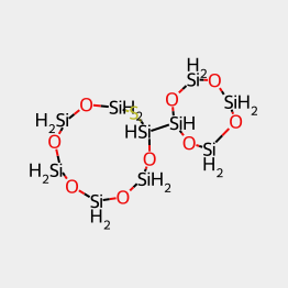 O1[SiH2]O[SiH2]O[SiH2]S[SiH]([SiH]2O[SiH2]O[SiH2]O[SiH2]O2)O[SiH2]O[SiH2]1